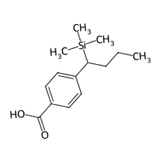 CCCC(c1ccc(C(=O)O)cc1)[Si](C)(C)C